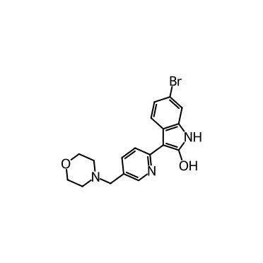 Oc1[nH]c2cc(Br)ccc2c1-c1ccc(CN2CCOCC2)cn1